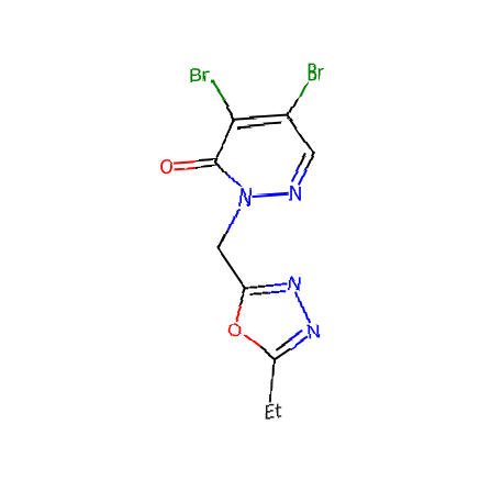 CCc1nnc(Cn2ncc(Br)c(Br)c2=O)o1